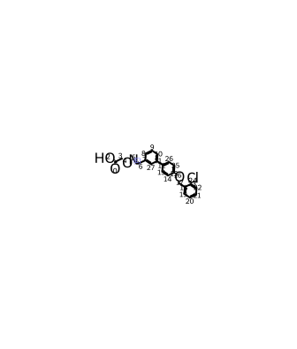 O=C(O)CO/N=C/c1cccc(-c2ccc(OCc3ccccc3Cl)cc2)c1